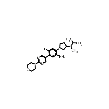 CC(C)N(C)C1CCN(c2cc(F)c(-c3cnc(N4CCOCC4)nc3)cc2N)C1